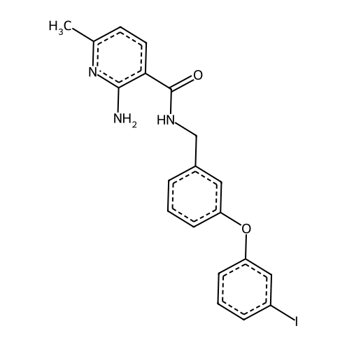 Cc1ccc(C(=O)NCc2cccc(Oc3cccc(I)c3)c2)c(N)n1